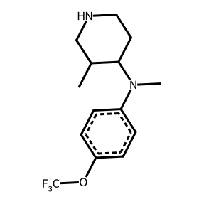 CC1CNCCC1N(C)c1ccc(OC(F)(F)F)cc1